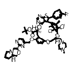 Cc1c(Cl)c2c(Cl)c(C)c1-c1c(-c3ccc(F)cc3)sc3ncnc(c13)O[C@@H](C(=O)OC(C)(C)C)Cc1cc(ccc1OCc1ccnc([C@@H]3CN4CCC[C@H]4CO3)n1)OC[C@@H](CN1CCN(C)CC1)O2